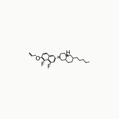 C=CCOc1ccc2cc([C@@H]3CC[C@@H]4CC(CCCCC)CCC4C3)cc(F)c2c1F